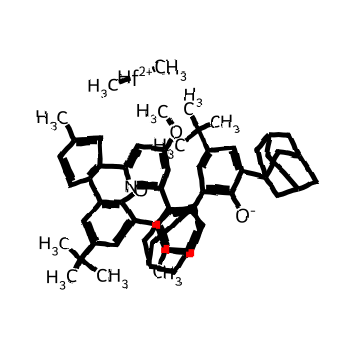 COc1cc(-c2cc(C)ccc2-c2cc(C(C)(C)C)cc(C34CC5CC(CC(C5)C3)C4)c2[O-])nc(-c2cc(C)ccc2-c2cc(C(C)(C)C)cc(C34CC5CC(CC(C5)C3)C4)c2[O-])c1.[CH3][Hf+2][CH3]